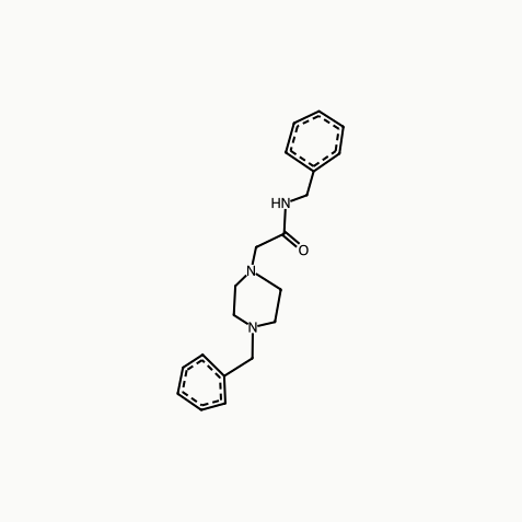 O=C(CN1CCN(Cc2ccccc2)CC1)NCc1ccccc1